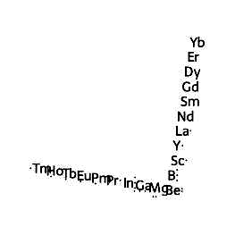 [B].[Be].[Dy].[Er].[Eu].[Ga].[Gd].[Ho].[In].[La].[Mg].[Nd].[Pm].[Pr].[Sc].[Sm].[Tb].[Tm].[Y].[Yb]